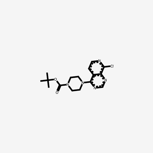 CC(C)(C)OC(=O)N1CCN(c2ncnc3c(Cl)nccc23)CC1